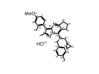 COc1ccc(-c2c(C)nn3c(N(Cc4ccc(C)cc4)CC4CC4)c4c(nc23)CCC4)c(C)c1.Cl